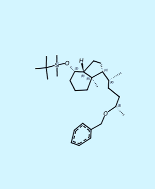 C[C@H](CC[C@H](C)OCc1ccccc1)[C@H]1CC[C@H]2[C@@H](O[Si](C)(C)C(C)(C)C)CCC[C@]12C